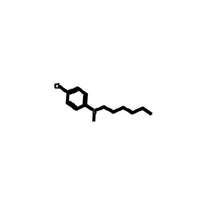 CCCCCCN(C)c1ccc(Cl)cc1